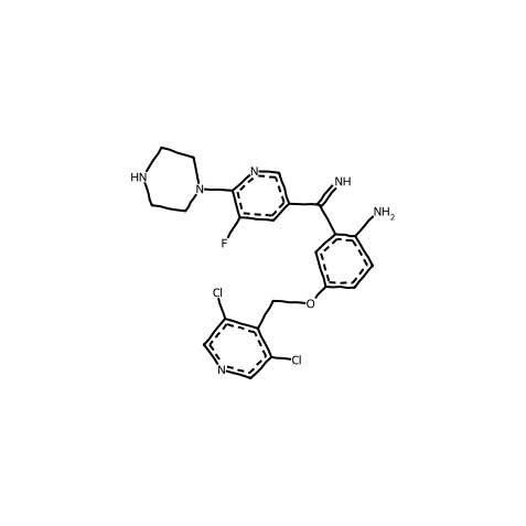 N=C(c1cnc(N2CCNCC2)c(F)c1)c1cc(OCc2c(Cl)cncc2Cl)ccc1N